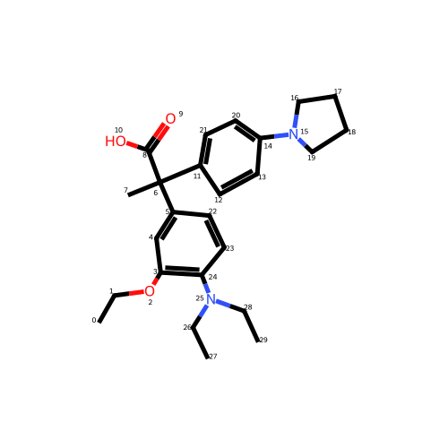 CCOc1cc(C(C)(C(=O)O)c2ccc(N3CCCC3)cc2)ccc1N(CC)CC